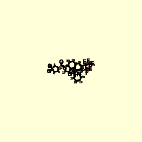 O=C([C@@H]1CCS(=O)(=O)C1)N1CCC2(S(=O)(=O)c3ccccn3)c3ccc(C(F)(C(F)(F)F)C(F)(F)F)cc3CCC12